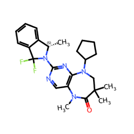 C[C@H]1c2ccccc2C(F)(F)N1c1ncc2c(n1)N(C1CCCC1)CC(C)(C)C(=O)N2C